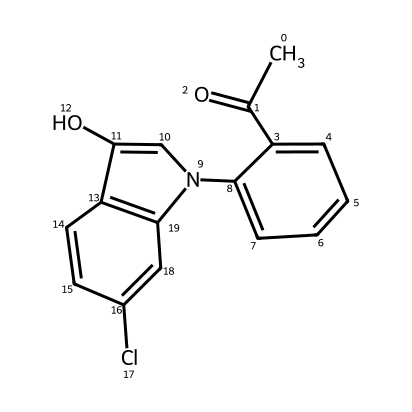 CC(=O)c1ccccc1-n1cc(O)c2ccc(Cl)cc21